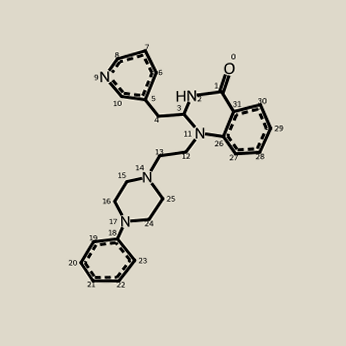 O=C1NC(Cc2cccnc2)N(CCN2CCN(c3ccccc3)CC2)c2ccccc21